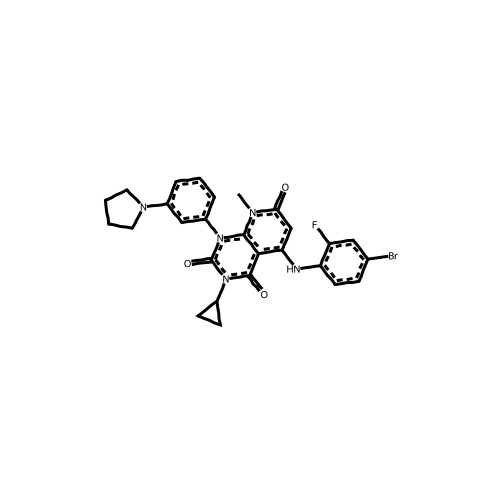 Cn1c(=O)cc(Nc2ccc(Br)cc2F)c2c(=O)n(C3CC3)c(=O)n(-c3cccc(N4CCCC4)c3)c21